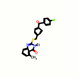 CCn1c(SCc2ccc(C(=O)c3ccc(F)cc3)cc2)nc2cccc(C)c2c1=O